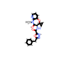 CN1C(=O)[C@H](NC(=O)c2nnc(Cc3ccccc3)o2)C2(CC2)Oc2cccnc21